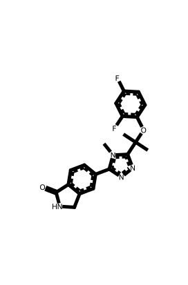 Cn1c(-c2ccc3c(c2)CNC3=O)nnc1C(C)(C)Oc1ccc(F)cc1F